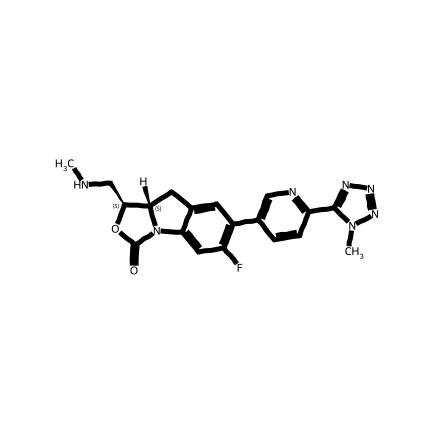 CNC[C@@H]1OC(=O)N2c3cc(F)c(-c4ccc(-c5nnnn5C)nc4)cc3C[C@@H]12